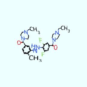 CCN1CCN(C(=O)c2cc(F)c(N[N]c3cc(C(=O)N4CCN(CC)CC4)ccc3C)c(F)c2)CC1